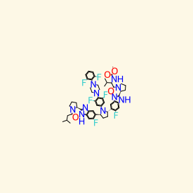 COC(=O)N[C@H](C(=O)N1CCC[C@H]1c1nc2cc([C@@H]3CC[C@@H](c4cc5nc([C@@H]6CCCN6C(=O)CC(C)C)[nH]c5cc4F)N3c3cc(F)c(N4CCN(c5c(F)cccc5F)CC4)c(F)c3)c(F)cc2[nH]1)C(C)C